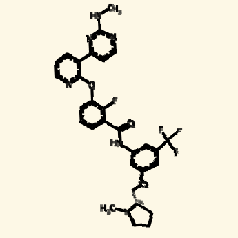 CNc1nccc(-c2cccnc2Oc2cccc(C(=O)Nc3cc(OC[C@@H]4CCCN4C)cc(C(F)(F)F)c3)c2F)n1